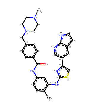 Cc1ccc(NC(=O)c2ccc(CN3CCN(C)CC3)cc2)cc1Nc1nc(-c2cnc3[nH]ccc3c2)cs1